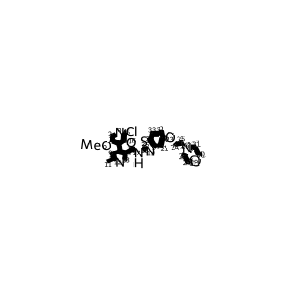 COc1cnc(Cl)cc1-c1cc(C)ncc1C(=O)Nc1nc2cc(OCCN3CCOCC3)ccc2s1